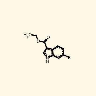 CCOC(=O)c1c[nH]c2cc(Br)ccc12